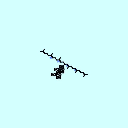 CC(C)=CCC/C(C)=C/CC/C(C)=C/CC/C=C(\C)CC/C=C(\C)CCC=C(C)C.O=P(O)(O)O.O=P(O)(O)O